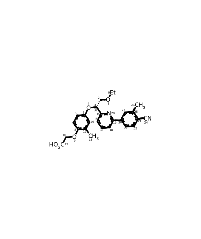 CCOC[C@@H](Oc1ccc(OCC(=O)O)c(C)c1)c1cccc(-c2ccc(C#N)c(C)c2)n1